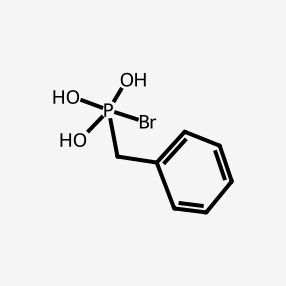 OP(O)(O)(Br)Cc1ccccc1